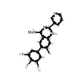 CNc1nc(-c2cccnc2)nc2cc(C)c(-c3cc(F)c(F)c(F)c3)cc12